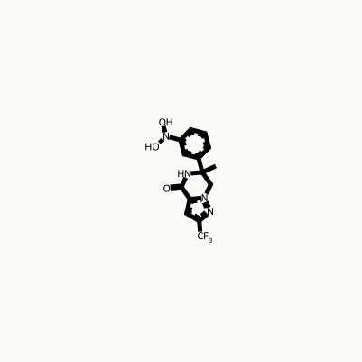 CC1(c2cccc(N(O)O)c2)Cn2nc(C(F)(F)F)cc2C(=O)N1